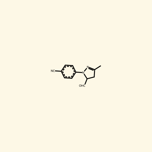 CC1=NN(c2ccc(C#N)cc2)C(C=O)C1